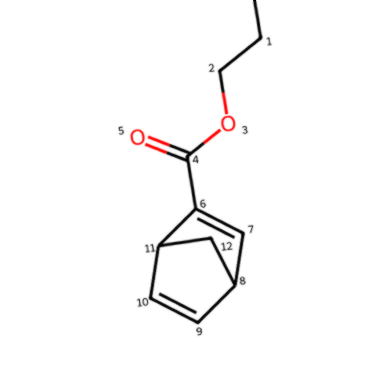 CCCOC(=O)C1=CC2C=CC1C2